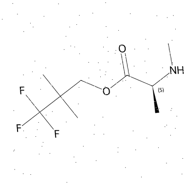 CN[C@@H](C)C(=O)OCC(C)(C)C(F)(F)F